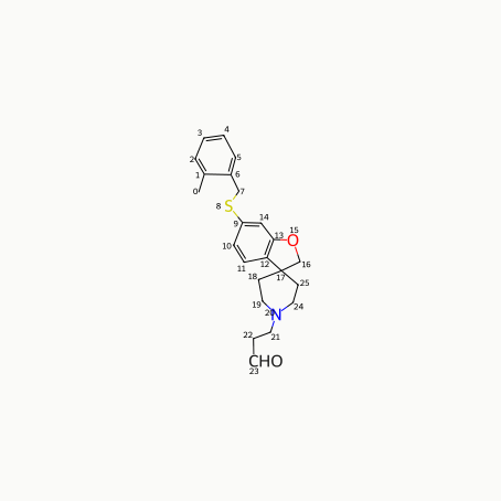 Cc1ccccc1CSc1ccc2c(c1)OCC21CCN(CCC=O)CC1